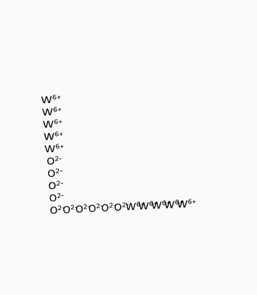 [O-2].[O-2].[O-2].[O-2].[O-2].[O-2].[O-2].[O-2].[O-2].[O-2].[W+6].[W+6].[W+6].[W+6].[W+6].[W+6].[W+6].[W+6].[W+6].[W+6]